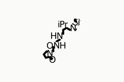 CC(C)C(CCNCCNC(=O)CN1CCCC1=O)CN(C)C[Si](C)(C)C